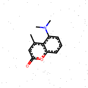 Cc1cc(=O)oc2cccc(N(C)C)c12